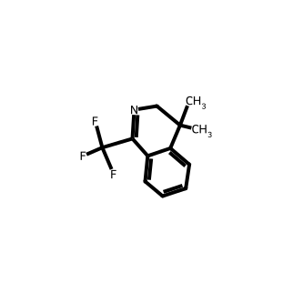 CC1(C)CN=C(C(F)(F)F)c2ccccc21